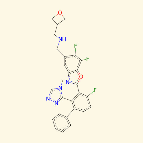 Cn1cnnc1-c1c(-c2ccccc2)ccc(F)c1-c1nc2cc(CNCC3COC3)c(F)c(F)c2o1